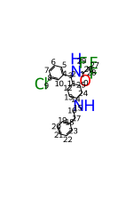 O=C(NC(c1cccc(Cl)c1)C1CCC(NCCc2ccccc2)CC1)C(F)(F)F